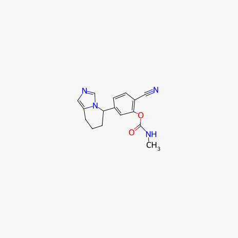 CNC(=O)Oc1cc(C2CCCc3cncn32)ccc1C#N